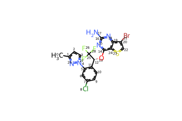 Cc1ccn(-c2cc(Cl)ccc2[C@@H](Oc2nc(N)nc3c(Br)csc23)C(F)(F)F)n1